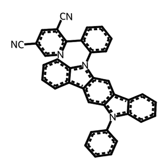 N#Cc1cnc(-c2ccccc2-n2c3ccccc3c3cc4c(cc32)c2ccccc2n4-c2ccccc2)c(C#N)c1